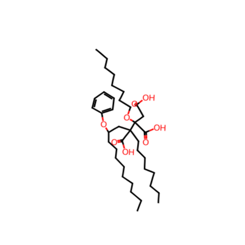 CCCCCCCCCC(CC(CCCCCCCC)(C(=O)O)C(CC(=O)O)(OCCCCCCCC)C(=O)O)Oc1ccccc1